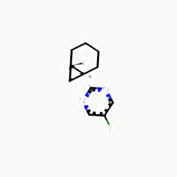 Fc1cnc([C@@]23CCCC[C@H]2C3)nc1